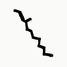 [CH2]COCCOCCOC(=O)C=CC